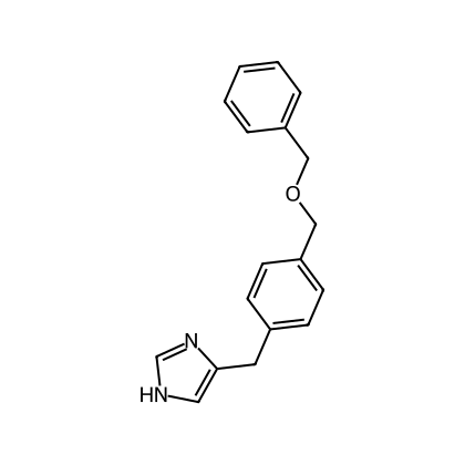 c1ccc(COCc2ccc(Cc3c[nH]cn3)cc2)cc1